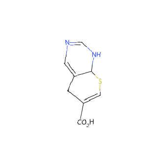 O=C(O)C1=CSC2NC=NC=C2C1